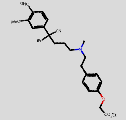 CCOC(=O)COc1ccc(CCN(C)CCCC(C#N)(c2ccc(C=O)c(OC)c2)C(C)C)cc1